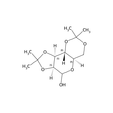 CC1(C)OC[C@H]2OC(O)[C@H]3OC(C)(C)O[C@H]3[C@@H]2O1